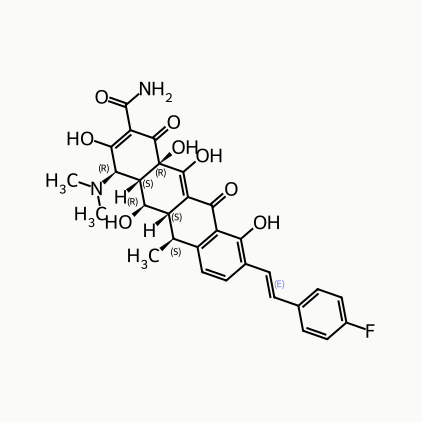 C[C@@H]1c2ccc(/C=C/c3ccc(F)cc3)c(O)c2C(=O)C2=C(O)[C@@]3(O)C(=O)C(C(N)=O)=C(O)[C@H](N(C)C)[C@H]3[C@H](O)[C@H]21